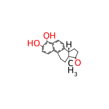 C[C@]12CCc3c(ccc4c(O)c(O)ccc34)[C@@H]1CCC2=O